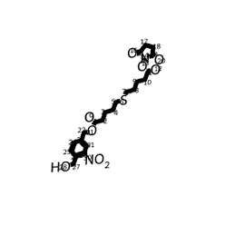 O=C(CCCCSCCCCC(=O)ON1C(=O)CCC1=O)OCc1ccc(CO)c([N+](=O)[O-])c1